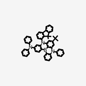 CC(C)(C)c1cc2c3c(c1)N(c1cccc4c1C(C)(C)c1ccccc1-4)c1cc(N(c4ccccc4)c4ccccc4)ccc1B3c1ccccc1N2c1ccccc1